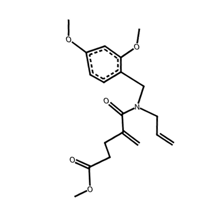 C=CCN(Cc1ccc(OC)cc1OC)C(=O)C(=C)CCC(=O)OC